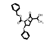 CC(O)C1C(=O)N2C1CC(Sc1ccccc1)[C@H]2C(=O)OCc1ccccc1